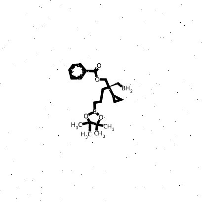 BC[C@@](CCCB1OC(C)(C)C(C)(C)O1)(COC(=O)c1ccccc1)C1CC1